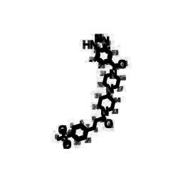 CS(=O)(=O)c1ccc(CCC(=O)N2CCC(N3CCN(C(=O)c4ccc5[nH]nnc5c4)CC3)CC2)cc1